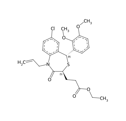 C=CCN1C(=O)[C@H](CCC(=O)OCC)S[C@@H](c2cccc(OC)c2OC)c2cc(Cl)ccc21